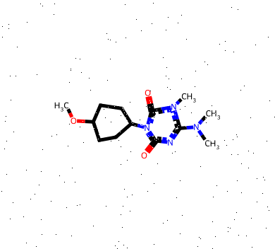 COC1CCC(n2c(=O)nc(N(C)C)n(C)c2=O)CC1